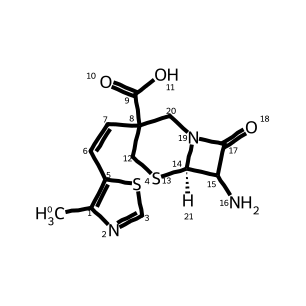 Cc1ncsc1/C=C\C1(C(=O)O)CS[C@@H]2C(N)C(=O)N2C1